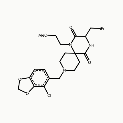 COCCN1C(=O)C(CC(C)C)NC(=O)C12CCN(Cc1ccc3c(c1Cl)OCO3)CC2